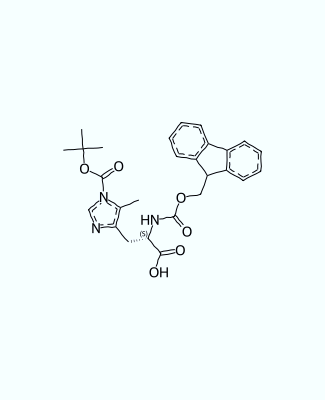 Cc1c(C[C@H](NC(=O)OCC2c3ccccc3-c3ccccc32)C(=O)O)ncn1C(=O)OC(C)(C)C